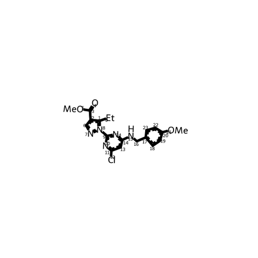 CCc1c(C(=O)OC)cnn1-c1nc(Cl)cc(NCc2ccc(OC)cc2)n1